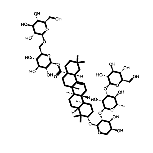 C[C@@H]1O[C@@H](O[C@H]2[C@H](O[C@H]3CC[C@]4(C)[C@H]5CC=C6[C@@H]7CC(C)(C)CC[C@]7(C(=O)O[C@@H]7O[C@H](CO[C@@H]8O[C@H](CO)[C@@H](O)[C@H](O)[C@H]8O)[C@@H](O)[C@H](O)[C@H]7O)CC[C@@]6(C)[C@]5(C)CC[C@H]4C3(C)C)OC[C@H](O)[C@@H]2O)[C@H](O)[C@H](O[C@@H]2O[C@H](CO)[C@@H](O)[C@H](O)[C@H]2O)[C@H]1O